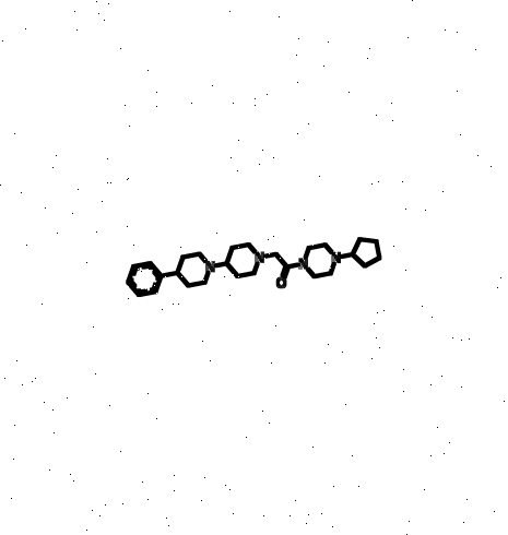 O=C(CN1CCC(N2CCC(c3ccccc3)CC2)CC1)N1CCN(C2CCCC2)CC1